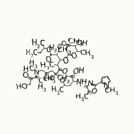 CCC(C)OC(=O)C(C)C(OC1C[C@@](C)(OC)C(O)C(C)O1)C(C)[C@@H](OC1OC(C)CC(NC[C@@H]2N=C(c3cccn3C)O[C@@H]2C)[C@H]1O)[C@@](C)(O)C[C@@H](C)CN(C)[C@H](C)[C@@H](O)CO